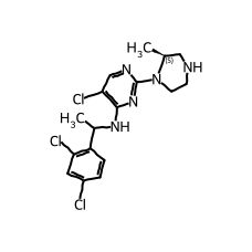 CC(Nc1nc(N2CCNC[C@@H]2C)ncc1Cl)c1ccc(Cl)cc1Cl